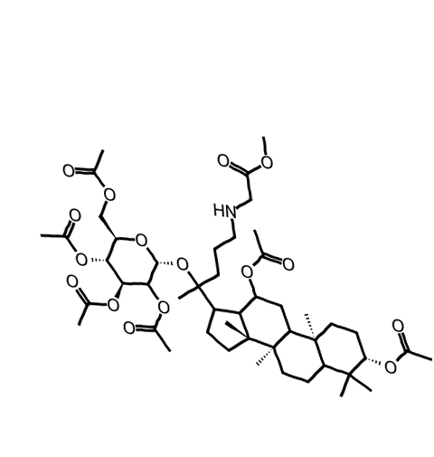 COC(=O)CNCCCC(C)(O[C@H]1O[C@H](COC(C)=O)[C@@H](OC(C)=O)[C@H](OC(C)=O)C1OC(C)=O)C1CC[C@]2(C)C1C(OC(C)=O)CC1[C@@]3(C)CC[C@H](OC(C)=O)C(C)(C)C3CC[C@]12C